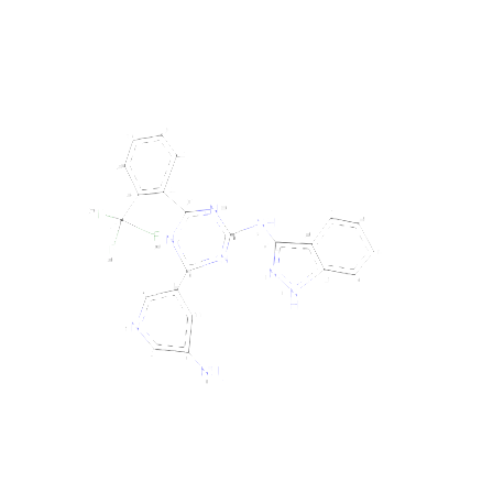 Nc1cncc(-c2nc(Nc3n[nH]c4ccccc34)nc(-c3ccccc3C(F)(F)F)n2)c1